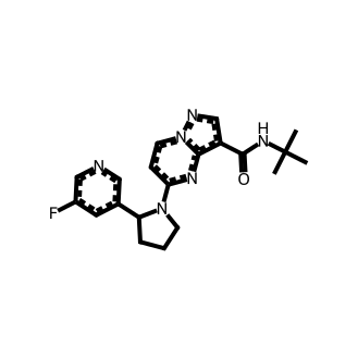 CC(C)(C)NC(=O)c1cnn2ccc(N3CCCC3c3cncc(F)c3)nc12